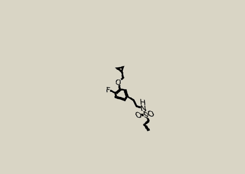 C=CCS(=O)(=O)NCCc1ccc(F)c(OCC2CC2)c1